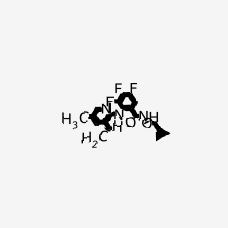 C=Cc1cc(C)cnc1Nc1c(C(=O)NOCC2CC2)cc(F)c(F)c1F